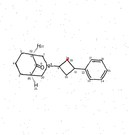 O=C1[C@@H]2CCC[C@H]1CN(C13CC(c4ccccc4)(C1)C3)C2